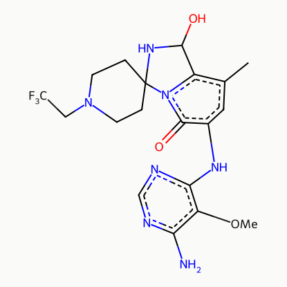 COc1c(N)ncnc1Nc1cc(C)c2n(c1=O)C1(CCN(CC(F)(F)F)CC1)NC2O